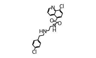 O=S(=O)(NCCNCCc1ccc(Cl)cc1)c1ccc(Cl)c2ncccc12